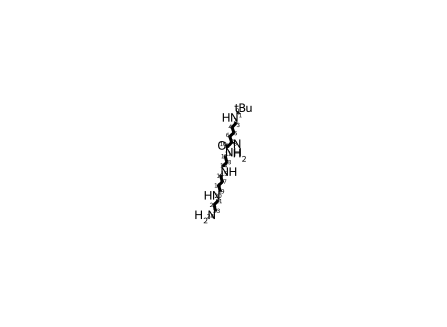 CC(C)(C)CNCCCC[C@@H](N)C(=O)NCCCNCCCCNCCCN